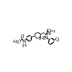 O=C(O)Nc1ccc(C2CCC(C/C(=N\O)Nc3cccc(Cl)c3)CC2)cc1